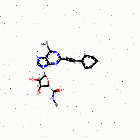 CCNC(=O)[C@H]1O[C@@H](n2cnc3c(NC)nc(C#Cc4ccccc4)nc32)C(O)C1O